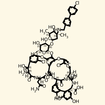 C[C@@H]1O[C@@H](O[C@H]2[C@H](Oc3c4cc5cc3Oc3ccc(cc3Cl)[C@@H](O)[C@@H](N)C(=O)N[C@@H](CC(N)=O)C(=O)N[C@H]5C(=O)N[C@H]3C(=O)N[C@H](C(=O)N[C@H](C(=O)O)c5cc(O)cc(O)c5-c5cc3ccc5O)[C@H](O)c3ccc(c(Cl)c3)O4)O[C@H](CO)[C@@H](O)[C@@H]2O)C[C@](C)(NCc2ccc(-c3ccc(Cl)cc3)cc2)[C@@H]1O